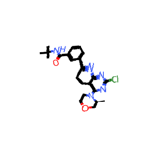 C[C@H]1COCCN1c1nc(Cl)nc2nc(-c3cccc(C(=O)NC(C)(C)C)c3)ccc12